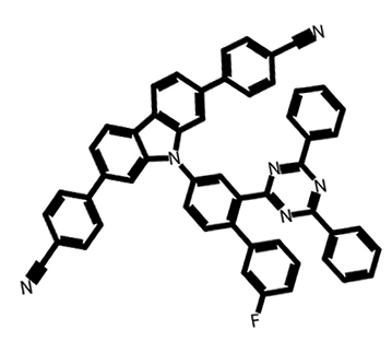 N#Cc1ccc(-c2ccc3c4ccc(-c5ccc(C#N)cc5)cc4n(-c4ccc(-c5cccc(F)c5)c(-c5nc(-c6ccccc6)nc(-c6ccccc6)n5)c4)c3c2)cc1